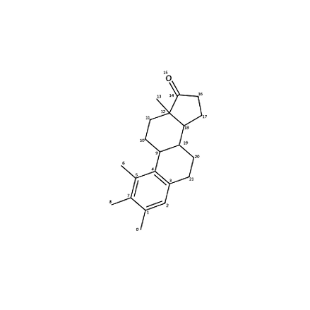 Cc1cc2c(c(C)c1C)C1CCC3(C)C(=O)CCC3C1CC2